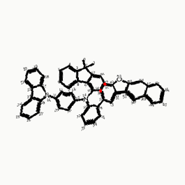 CC1(C)c2ccccc2-c2c(N(c3ccc(-n4c5ccccc5c5ccccc54)cc3)c3ccccc3-c3ccc4oc5cc6ccccc6cc5c4c3)cccc21